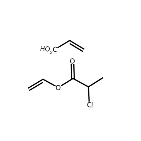 C=CC(=O)O.C=COC(=O)C(C)Cl